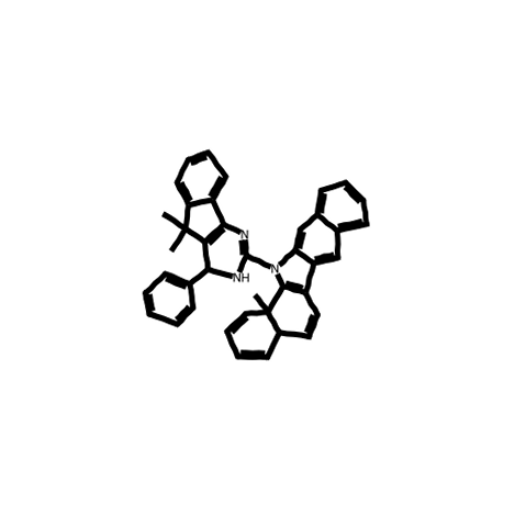 CC1(C)C2=C(N=C(n3c4c(c5cc6ccccc6cc53)C=CC3C=CC=CC43C)NC2c2ccccc2)c2ccccc21